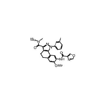 COc1cc2c(cc1NC(=O)c1cocn1)-c1c(c(C(=O)N(C)C(C)(C)C)nn1-c1cccc(C)c1)CC2